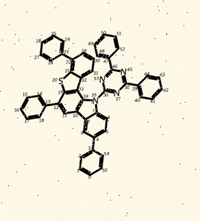 c1ccc(-c2ccc3c(c2)c2cc(-c4ccccc4)c4sc5c(-c6ccccc6)cccc5c4c2n3-c2nc(-c3ccccc3)nc(-c3ccccc3)n2)cc1